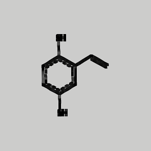 C=Cc1cc(S)ccc1S